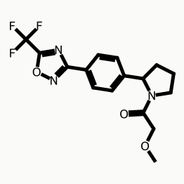 COCC(=O)N1CCCC1c1ccc(-c2noc(C(F)(F)F)n2)cc1